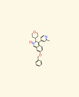 Cc1cc(-c2c(C3CCOCC3)[n+]([O-])cc3cc(OCc4ccccc4)ccc23)ccn1